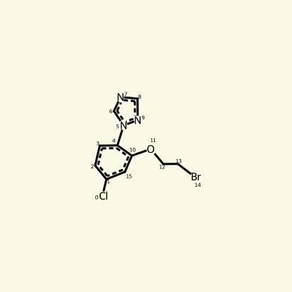 Clc1ccc(-n2cncn2)c(OCCBr)c1